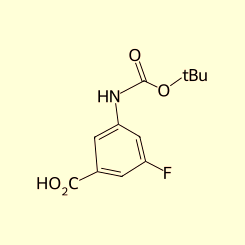 CC(C)(C)OC(=O)Nc1cc(F)cc(C(=O)O)c1